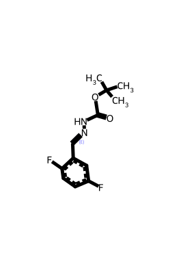 CC(C)(C)OC(=O)N/N=C/c1cc(F)ccc1F